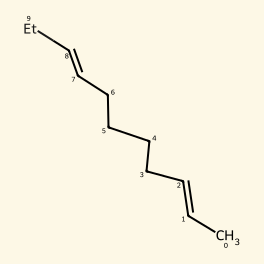 CC=CCCCCC=CCC